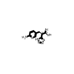 CCC[C@H](C(C)=O)[C@H](Cc1ccc(N)nc1)c1nnn[nH]1